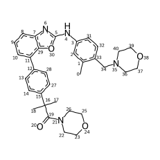 Cc1cc(Nc2nc3cccc(-c4ccc(C(C)(C)C(=O)N5CCOCC5)cc4)c3o2)ccc1CN1CCOCC1